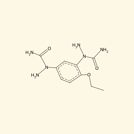 CCOc1ccc(N(N)C(N)=O)cc1N(N)C(N)=O